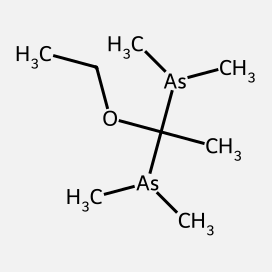 CCOC(C)([As](C)C)[As](C)C